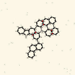 c1ccc(-c2cccc3cccc(-c4ccccc4N(c4cccc(-c5cccc6c5ccc5ccccc56)c4)c4ccccc4-c4ccc5oc6ccccc6c5c4)c23)cc1